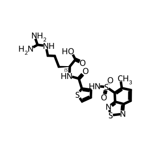 Cc1ccc2nsnc2c1S(=O)(=O)Nc1ccsc1C(=O)N[C@@H](CCCNC(N)N)C(=O)O